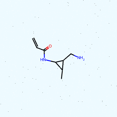 C=CC(=O)NC1C(C)C1CN